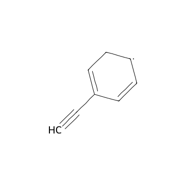 C#CC1=CC[CH]C=C1